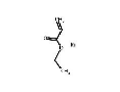 C=CC(=O)OCC.[Ru]